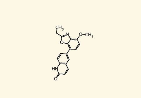 CCc1nc2c(OC)ccc(-c3ccc4[nH]c(=O)ccc4c3)c2o1